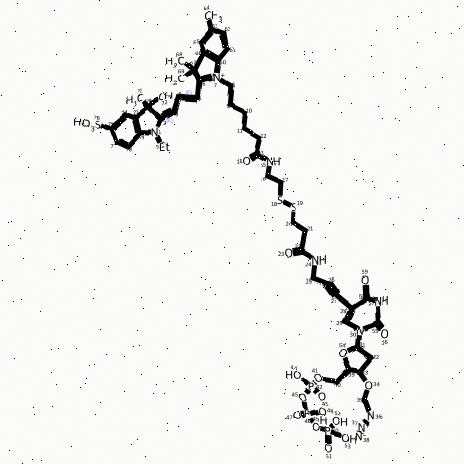 CCN1/C(=C/C=C/C2=[N+](CCCCCC(=O)NCCSSCCC(=O)NCC#Cc3cn(C4CC(OCN=[N+]=[N-])C(COP(=O)(O)OP(=O)(O)OP(=O)(O)O)O4)c(=O)[nH]c3=O)c3ccc(C)cc3C2(C)C)C(C)(C)c2cc(S(=O)(=O)O)ccc21